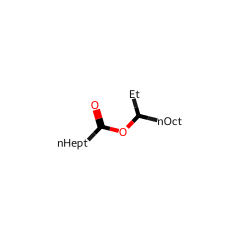 CCCCCCCCC(CC)OC(=O)CCCCCCC